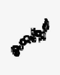 CCN1CCN(Cc2ccc(NC(=O)N3CCc4ccc(Oc5ccnn6cccc56)cc4[C@@H]3C)cc2C(F)(F)F)CC1